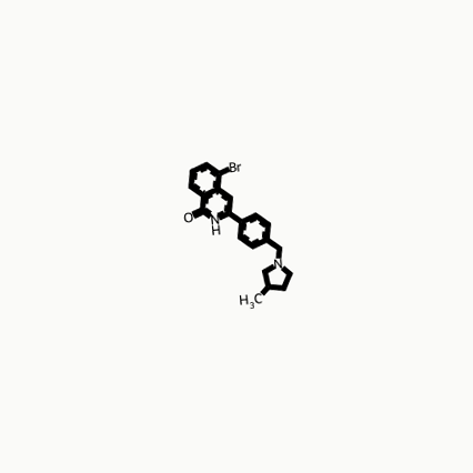 CC1CCN(Cc2ccc(-c3cc4c(Br)cccc4c(=O)[nH]3)cc2)C1